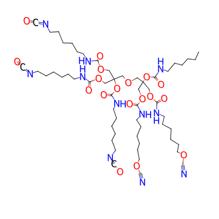 CCCCCCNC(=O)OC(COCC(COC(=O)NCCCCCCN=C=O)(COC(=O)NCCCCCCN=C=O)OC(=O)NCCCCCCN=C=O)(COC(=O)NCCCCCCOC#N)COC(=O)NCCCCCCOC#N